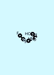 Cc1nc2ccc(O)cn2c1C(=O)NCc1ccc(SN2CCC(c3ccc(F)cc3)CC2)cc1